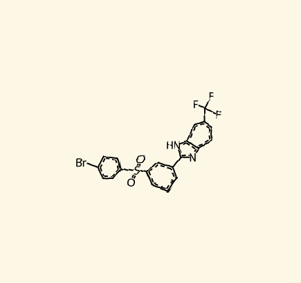 O=S(=O)(c1ccc(Br)cc1)c1cccc(-c2nc3ccc(C(F)(F)F)cc3[nH]2)c1